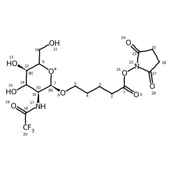 O=C(CCCCO[C@@H]1OC(CO)[C@H](O)C(O)[C@@H]1NC(=O)C(F)(F)F)ON1C(=O)CCC1=O